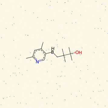 Cc1cc(C)c(BCC(C)(C)C(C)(C)O)cn1